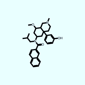 COC1CC(N(CC(C)C)C(=O)c2ccc3ccccc3c2)CC2(c3cccc(O)c3)CCN(C)CC12